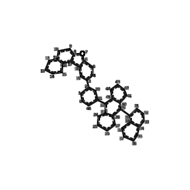 c1cc(-c2ccc3oc4ccc5ccccc5c4c3c2)cc(-c2c3ccccc3c(-c3cccc4ccccc34)c3ccccc23)c1